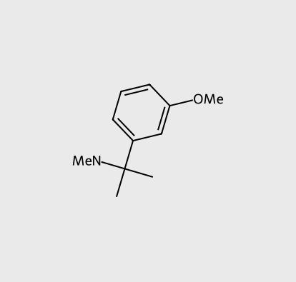 CNC(C)(C)c1cccc(OC)c1